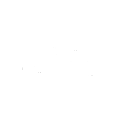 CCOP(C)(=O)OCC[N+](C)(C)CCCC(=O)O